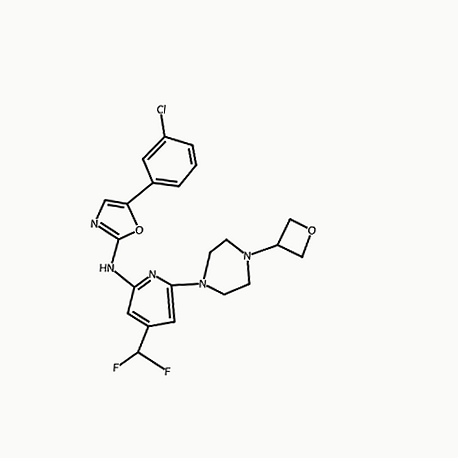 FC(F)c1cc(Nc2ncc(-c3cccc(Cl)c3)o2)nc(N2CCN(C3COC3)CC2)c1